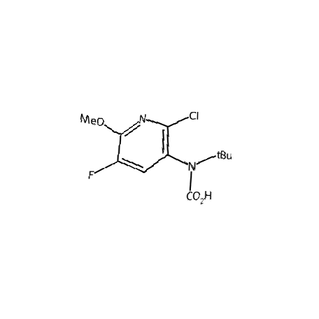 COc1nc(Cl)c(N(C(=O)O)C(C)(C)C)cc1F